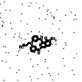 CCOCCOc1cccc(Nc2nc(Nc3cnccn3)cc3ccn(C)c(=O)c23)c1